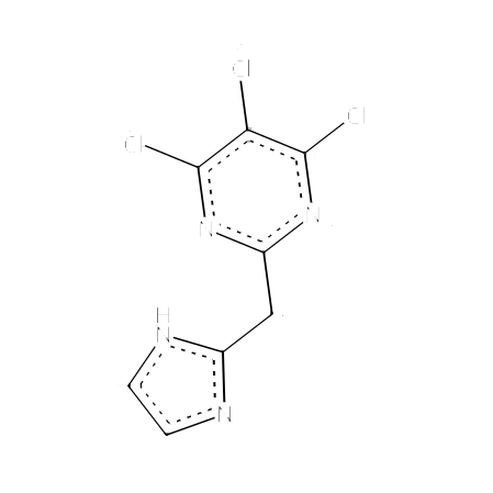 Clc1nc(Cc2ncc[nH]2)nc(Cl)c1Cl